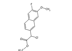 COC(=O)C(Cl)c1ccc2cc(F)c(OC)cc2c1